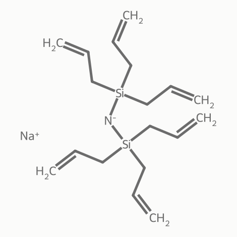 C=CC[Si](CC=C)(CC=C)[N-][Si](CC=C)(CC=C)CC=C.[Na+]